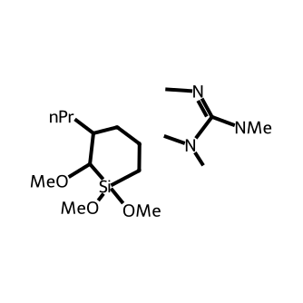 CCCC1CCC[Si](OC)(OC)C1OC.CN=C(NC)N(C)C